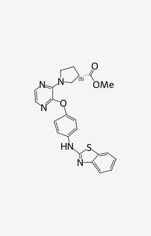 COC(=O)[C@H]1CCN(c2nccnc2Oc2ccc(Nc3nc4ccccc4s3)cc2)C1